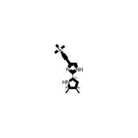 C[C@@H]1C[C@@H](c2nc(C#C[Si](C)(C)C)c[nH]2)N[C@@H]1C